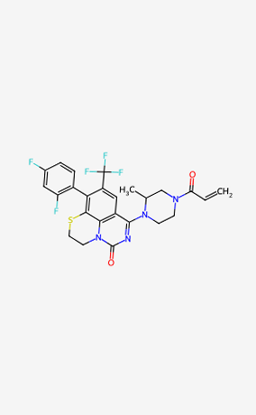 C=CC(=O)N1CCN(c2nc(=O)n3c4c(c(-c5ccc(F)cc5F)c(C(F)(F)F)cc24)SCC3)C(C)C1